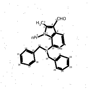 CCCn1c(C)c(C=O)c2ccnc(N(Cc3ccccc3)Cc3ccccc3)c21